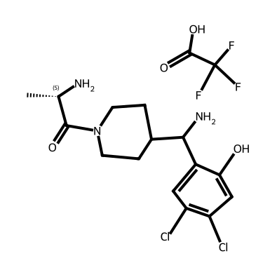 C[C@H](N)C(=O)N1CCC(C(N)c2cc(Cl)c(Cl)cc2O)CC1.O=C(O)C(F)(F)F